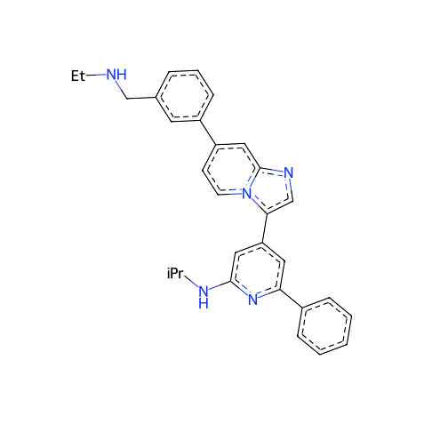 CCNCc1cccc(-c2ccn3c(-c4cc(NC(C)C)nc(-c5ccccc5)c4)cnc3c2)c1